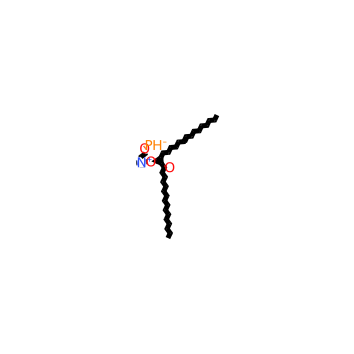 CCCCCCCCC=CCCCCCC1C(=O)C1C(=O)CCCCCCCCCCCCCCC.C[N+](C)(C)CCO[PH-]